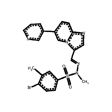 Cc1cc(S(=O)(=O)N(C)N=Cc2cnc3ccc(-c4cccnc4)cn23)ccc1Br